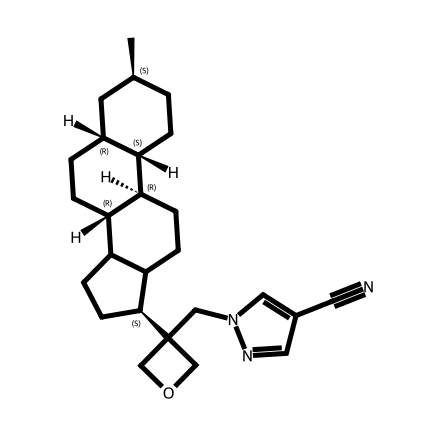 C[C@H]1CC[C@H]2[C@H](CC[C@H]3C4CC[C@H](C5(Cn6cc(C#N)cn6)COC5)C4CC[C@H]23)C1